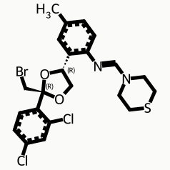 Cc1ccc(N=CN2CCSCC2)c([C@@H]2CO[C@](CBr)(c3ccc(Cl)cc3Cl)O2)c1